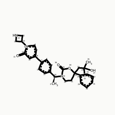 C[C@@H](c1ccc(-c2ccn(C3CNC3)c(=O)c2)cc1)N1CCC(CC(C)(C)O)(c2ccccc2)OC1=O